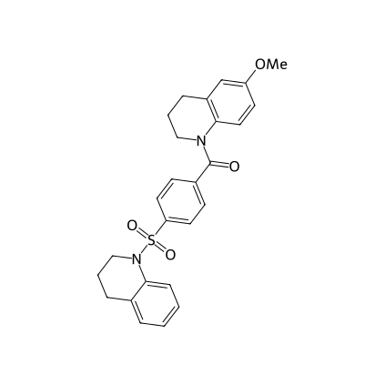 COc1ccc2c(c1)CCCN2C(=O)c1ccc(S(=O)(=O)N2CCCc3ccccc32)cc1